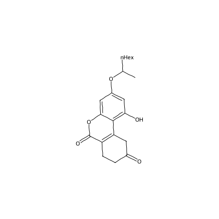 CCCCCCC(C)Oc1cc(O)c2c3c(c(=O)oc2c1)CCC(=O)C3